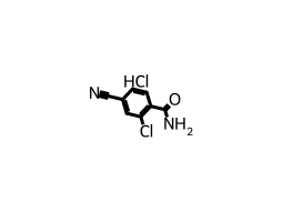 Cl.N#Cc1ccc(C(N)=O)c(Cl)c1